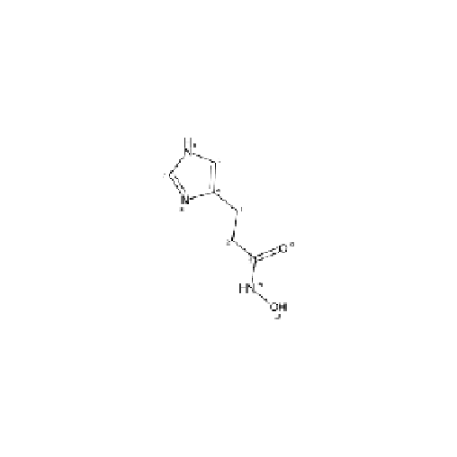 O=C(CCc1c[nH]cn1)NO